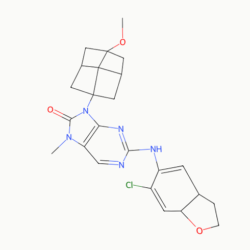 COC12CC3CC4(n5c(=O)n(C)c6cnc(NC7=CC8CCOC8C=C7Cl)nc65)CC(C1)C324